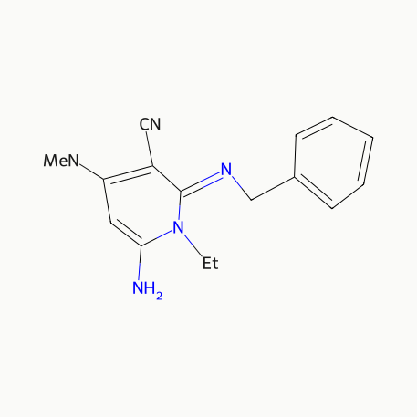 CCn1c(N)cc(NC)c(C#N)/c1=N/Cc1ccccc1